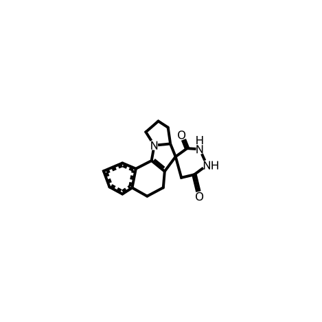 O=C1CC2(C(=O)NN1)C1=C(c3ccccc3CC1)N1CCCC12